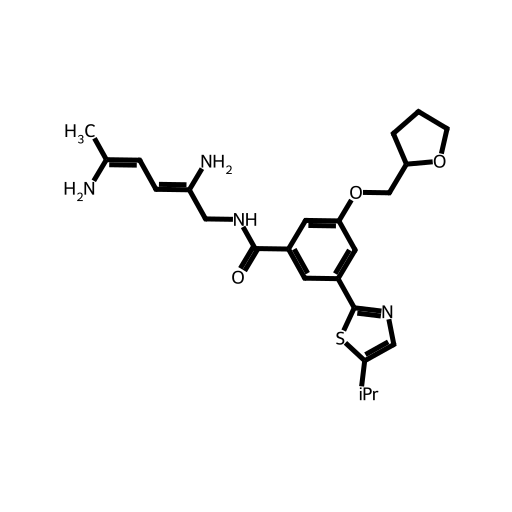 C/C(N)=C/C=C(\N)CNC(=O)c1cc(OCC2CCCO2)cc(-c2ncc(C(C)C)s2)c1